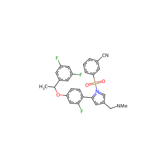 CNCc1cc(-c2ccc(OC(C)c3cc(F)cc(F)c3)cc2F)n(S(=O)(=O)c2cccc(C#N)c2)c1